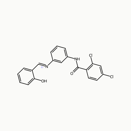 O=C(Nc1cccc(/N=C/c2ccccc2O)c1)c1ccc(Cl)cc1Cl